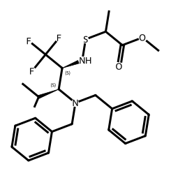 COC(=O)C(C)SN[C@@H]([C@H](C(C)C)N(Cc1ccccc1)Cc1ccccc1)C(F)(F)F